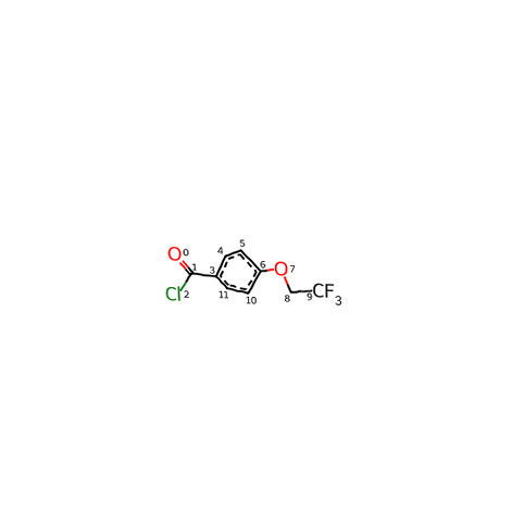 O=C(Cl)c1ccc(OCC(F)(F)F)cc1